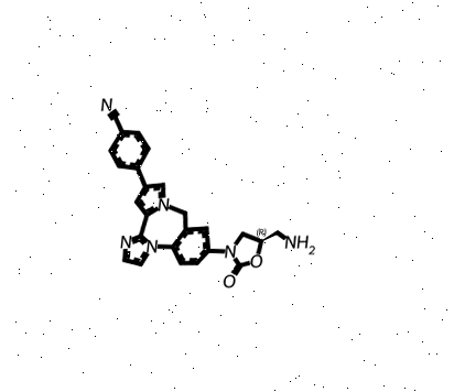 N#Cc1ccc(-c2cc3n(c2)Cc2cc(N4C[C@@H](CN)OC4=O)ccc2-n2ccnc2-3)cc1